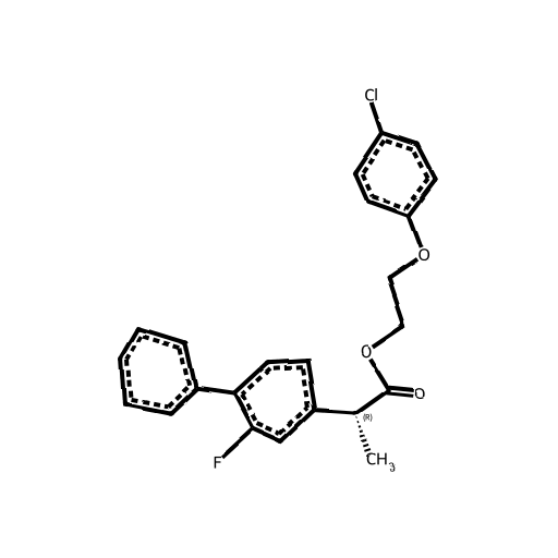 C[C@@H](C(=O)OCCOc1ccc(Cl)cc1)c1ccc(-c2ccccc2)c(F)c1